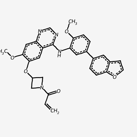 C=CC(=O)N1CC(Oc2cc3c(Nc4cc(-c5ccc6occc6c5)ccc4OC)ncnc3cc2OC)C1